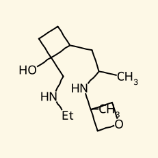 CCNCC1(O)CCC1CC(C)NC1(C)COC1